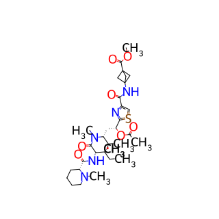 CC[C@@H](C)[C@H](NC(=O)[C@H]1CCCCN1C)C(=O)N(C)[C@H](C[C@@H](OC(C)=O)c1nc(C(=O)NC23CC(C(=O)OC)(C2)C3)cs1)C(C)C